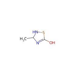 CC1N=C(O)SN1